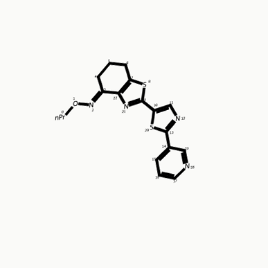 CCCO/N=C1\CCCc2sc(-c3cnc(-c4cccnc4)s3)nc21